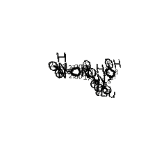 CC(C)(C)OC(=O)[C@@H](Cc1ccc(O)cc1)NC(=O)C1CN(c2ccc(-c3noc(=O)[nH]3)cc2)C(=O)O1